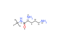 CC(C)(C)NC(=O)C(N)CCCN